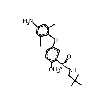 Cc1cc(N)cc(C)c1Oc1ccc(O)c(S(=O)(=O)NCC(C)(C)C)c1